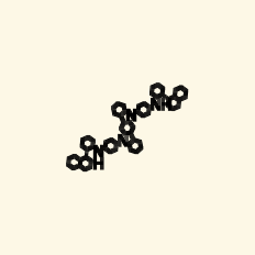 c1ccc(-c2cccc3ccccc23)c(Nc2ccc(-n3c4ccccc4c4cc5c(cc43)c3ccccc3n5-c3ccc(Nc4ccccc4-c4cccc5ccccc45)cc3)cc2)c1